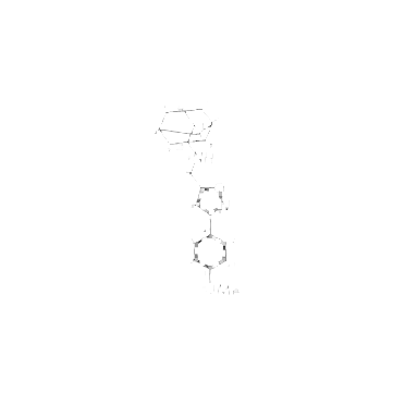 COc1ccc(-c2cc(CNC34CC5CC(CC(C5)C3)C4)on2)cc1